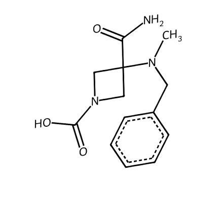 CN(Cc1ccccc1)C1(C(N)=O)CN(C(=O)O)C1